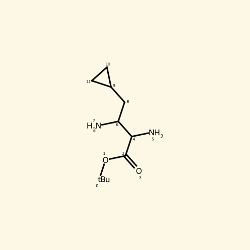 CC(C)(C)OC(=O)C(N)C(N)CC1CC1